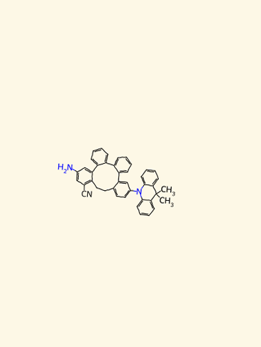 CC1(C)c2ccccc2N(c2ccc3c(c2)-c2ccccc2-c2ccccc2-c2cc(N)cc(C#N)c2CC3)c2ccccc21